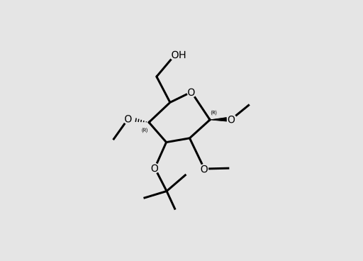 COC1C(OC(C)(C)C)[C@H](OC)C(CO)O[C@H]1OC